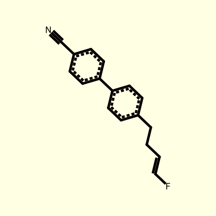 N#Cc1ccc(-c2ccc(CCC=CF)cc2)cc1